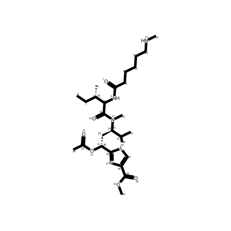 CC[C@H](C)C(NC(=O)CCCCCNC)C(=O)N(C)[C@H](C[C@@H](OC(C)=O)c1nc(C(=O)OC)cs1)C(C)C